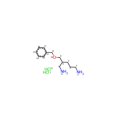 Cl.Cl.NCCCC(CN)COCc1ccccc1